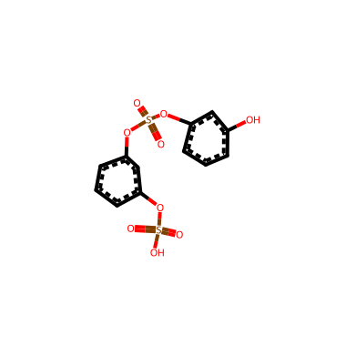 O=S(=O)(O)Oc1cccc(OS(=O)(=O)Oc2cccc(O)c2)c1